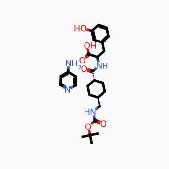 CC(C)(C)OC(=O)NC[C@H]1CC[C@H](C(=O)NC(Cc2cccc(O)c2)C(=O)O)CC1.Nc1ccncc1